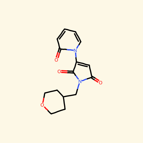 O=C1C=C(n2ccccc2=O)C(=O)N1CC1CCOCC1